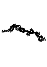 COc1ccc(COc2ccc(Cn3cnc4cc(-c5cnn(C6CCNCC6)c5)cnc43)cc2OC)cn1